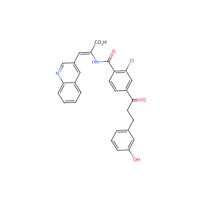 O=C(O)C(=Cc1cnc2ccccc2c1)NC(=O)c1ccc(C(=O)CCc2cccc(O)c2)cc1Cl